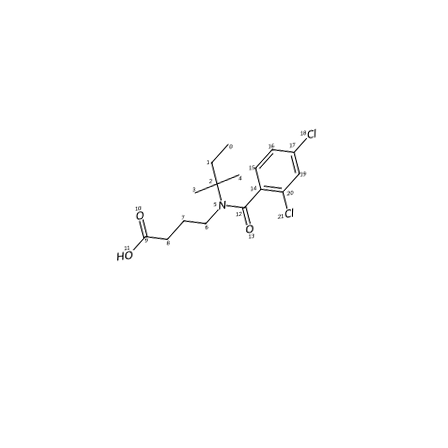 CCC(C)(C)N(CCCC(=O)O)C(=O)c1ccc(Cl)cc1Cl